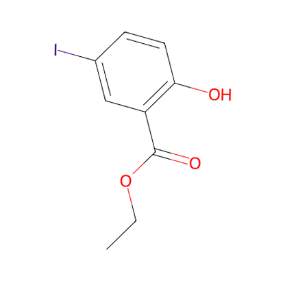 CCOC(=O)c1cc(I)ccc1O